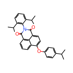 CC(C)c1ccc(Oc2ccc3c4c(cccc24)C(=O)N(c2c(C(C)C)cccc2C(C)C)C3=O)cc1